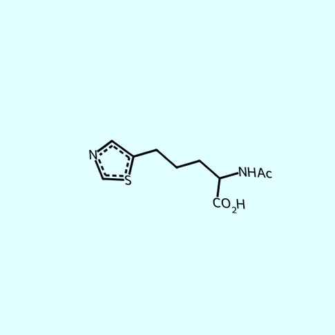 CC(=O)NC(CCCc1cncs1)C(=O)O